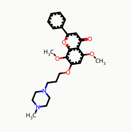 COc1c(OCCCN2CCN(C)CC2)cc(OC)c2c(=O)cc(-c3ccccc3)oc12